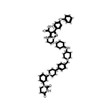 NC(=O)c1c(-c2ccc(Oc3ccccc3)cc2)nn2c1NCC[C@H]2C1CCC(NC2CCN(Cc3ccc(C4CCN(c5cccc(N6CCC(=O)NC6=O)c5)CC4)cc3)CC2)CC1